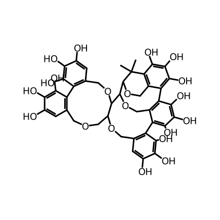 CC1(C)c2c(O)c(O)c(O)c3c2COC1C1OCc2c(c(O)c(O)c(O)c2-3)-c2c(cc(O)c(O)c2O)COC2COCc3cc(O)c(O)c(O)c3-c3c(cc(O)c(O)c3O)COC21